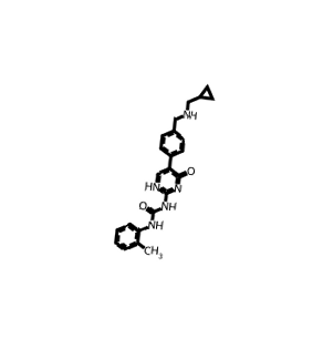 Cc1ccccc1NC(=O)Nc1nc(=O)c(-c2ccc(CNCC3CC3)cc2)c[nH]1